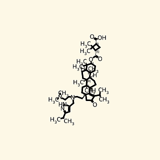 CC(C)C1=C2[C@H]3CC[C@@H]4[C@@]5(C)CC[C@H](OC(=O)[C@H]6C[C@@H](C(=O)O)C6(C)C)C(C)(C)[C@@H]5CC[C@@]4(C)[C@]3(C)CC[C@@]2(CCN(CCN(C)C)Cc2cc(C(C)C)n[nH]2)CC1=O